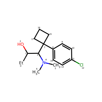 CCC(O)C(N(C)C)C1(c2ccc(Cl)cc2)CCC1